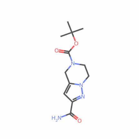 CC(C)(C)OC(=O)N1CCn2nc(C(N)=O)cc2C1